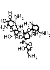 NCC1=CC[C@@H](N)[C@@H](O[C@H]2[C@H](O[C@@H]3O[C@H](CO)[C@@H](O[C@H]4O[C@@H](CN)[C@@H](O)[C@H](O)[C@H]4N)[C@H]3O)[C@@H](O)[C@H](NC(=O)C(O)[C@@H](F)CN)C[C@@H]2N)O1